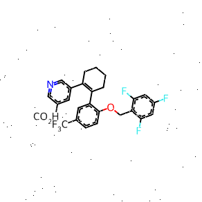 O=C(O)c1cncc(C2=C(c3cc(C(F)(F)F)ccc3OCc3c(F)cc(F)cc3F)CCCC2)c1